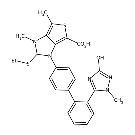 CCSC1N(C)c2c(C)sc(C(=O)O)c2N1c1ccc(-c2ccccc2-c2nc(O)nn2C)cc1